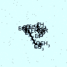 CCO[Si](CC(CC)OC(C)=S)(OCC)OCC.CCO[Si](CCCCCCCCC(C)OC(C)=S)(OCC)OCC